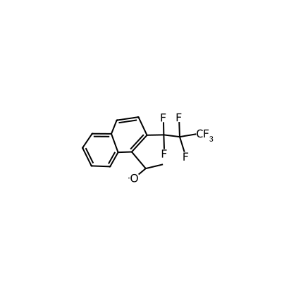 CC([O])c1c(C(F)(F)C(F)(F)C(F)(F)F)ccc2ccccc12